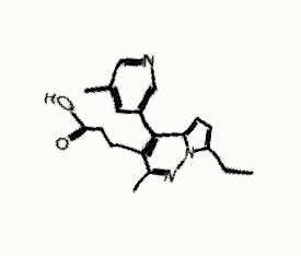 CCc1ccc2c(-c3cncc(C)c3)c(CCC(=O)O)c(C)nn12